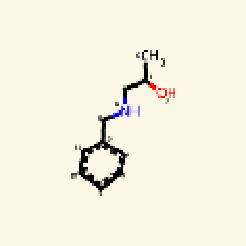 CC(O)CNCc1ccccc1